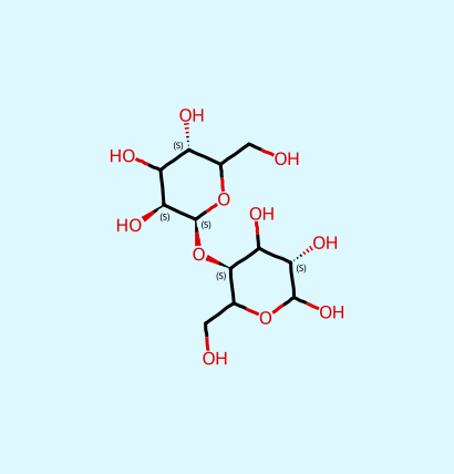 OCC1O[C@@H](O[C@@H]2C(CO)OC(O)[C@@H](O)C2O)[C@@H](O)C(O)[C@@H]1O